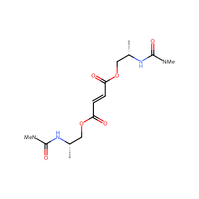 CNC(=O)N[C@@H](C)COC(=O)/C=C/C(=O)OC[C@H](C)NC(=O)NC